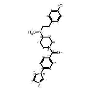 CN(CCc1ccc(Cl)cc1)C1CCN(C(=O)c2ccc(-n3cncn3)cc2)CC1